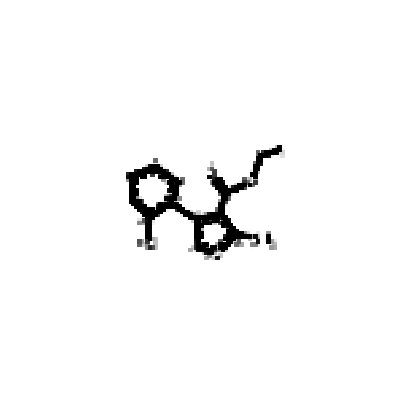 CCOC(=O)c1c(-c2ccccc2Cl)csc1N